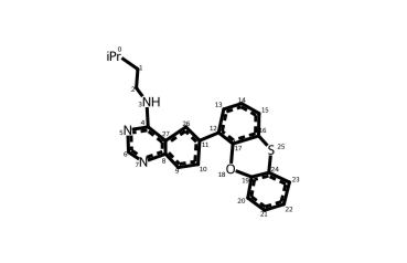 CC(C)CCNc1ncnc2ccc(-c3cccc4c3Oc3ccccc3S4)cc12